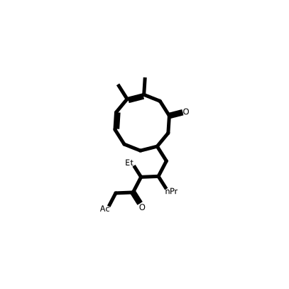 CCCC(CC1CC/C=C\C(C)=C(\C)CC(=O)C1)C(CC)C(=O)CC(C)=O